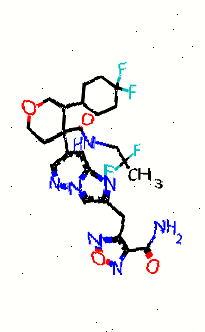 CC(F)(F)CNC(=O)C1(c2cnn3cc(Cc4nonc4C(N)=O)nc3c2)CCOCC1C1CCC(F)(F)CC1